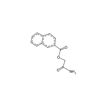 NC(=O)COC(=O)c1ccc2ccccc2c1